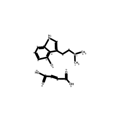 CN(C)CCc1c[nH]c2cccc(Cl)c12.O=C(O)/C=C/C(=O)O